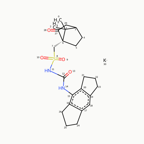 CC1(C)C2CC[C@@]1(CS(=O)(=O)NC(=O)Nc1c3c(cc4c1CCC4)CCC3)C(=O)C2.[K]